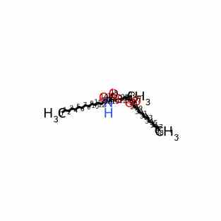 CCCCCCCCCCCCCC(=O)N[C@@H](C=O)COCC[C@@H](C)OC(=O)CCCCCCCCCCC